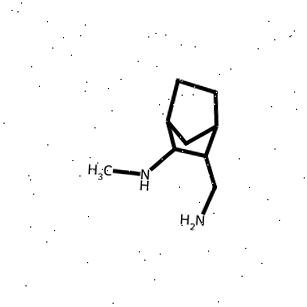 CNC1C2CCC(C2)C1CN